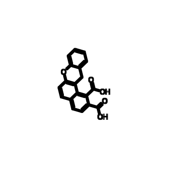 O=C(O)c1ccc2ccc3c(c2c1C(=O)O)Cc1ccccc1O3